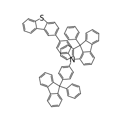 c1ccc(C2(c3ccc(N(c4ccc(-c5ccc6sc7ccccc7c6c5)cc4)c4cccc5c4C(c4ccccc4)(c4ccccc4)c4ccccc4-5)cc3)c3ccccc3-c3ccccc32)cc1